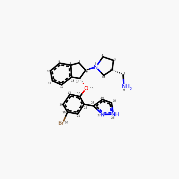 NC[C@H]1CCN([C@@H]2Cc3ccccc3[C@H]2Oc2ccc(Br)cc2-c2cc[nH]n2)C1